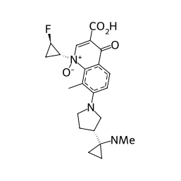 CNC1([C@@H]2CCN(c3ccc4c(c3C)[N+]([O-])([C@@H]3C[C@H]3F)C=C(C(=O)O)C4=O)C2)CC1